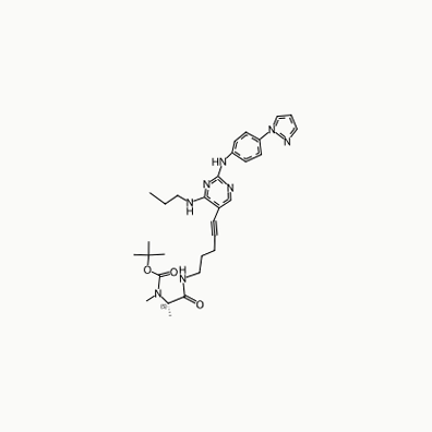 CCCNc1nc(Nc2ccc(-n3cccn3)cc2)ncc1C#CCCCNC(=O)[C@H](C)N(C)C(=O)OC(C)(C)C